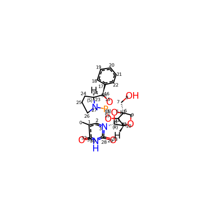 Cc1cn([C@@H]2O[C@@]3(CO)CO[C@H]2C3O[P@@]2O[C@H](c3ccccc3)[C@@H]3CCCN32)c(=O)[nH]c1=O